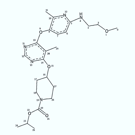 COCCNc1ccc(Oc2ncnc(OC3CCN(C(=O)OC(C)C)CC3)c2C)c(C)n1